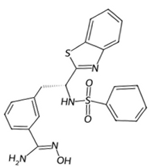 NC(=NO)c1cccc(C[C@@H](NS(=O)(=O)c2ccccc2)c2nc3ccccc3s2)c1